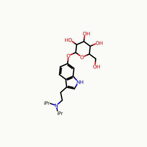 CC(C)N(CCc1c[nH]c2cc(OC3OC(CO)C(O)C(O)C3O)ccc12)C(C)C